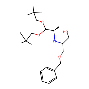 C[C@@H](NC(CO)COCc1ccccc1)C(OCC(C)(C)C)OCC(C)(C)C